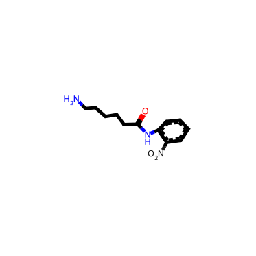 NCCCCCC(=O)Nc1cc[c]cc1[N+](=O)[O-]